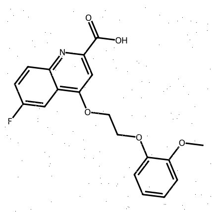 COc1ccccc1OCCOc1cc(C(=O)O)nc2ccc(F)cc12